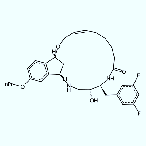 CCCOc1ccc2c(c1)[C@@H]1C[C@H]2OCC=CCCCCC(=O)N[C@@H](Cc2cc(F)cc(F)c2)[C@H](O)CN1